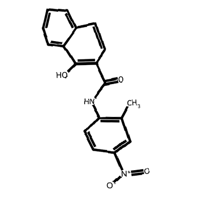 Cc1cc([N+](=O)[O-])ccc1NC(=O)c1ccc2ccccc2c1O